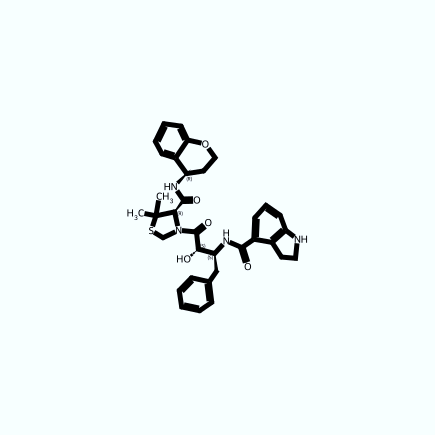 CC1(C)SCN(C(=O)[C@@H](O)[C@H](Cc2ccccc2)NC(=O)c2cccc3c2CCN3)[C@@H]1C(=O)N[C@@H]1CCOc2ccccc21